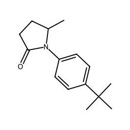 CC1CCC(=O)N1c1ccc(C(C)(C)C)cc1